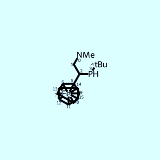 CNCC(PC(C)(C)C)[C]12[CH]3[CH]4[CH]5[CH]1[Fe]45321678[CH]2[CH]1[CH]6[CH]7[CH]28